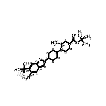 C[C@H]1CN(C(=O)OC(C)(C)C)CCN1C1CCC(n2cc3cc(N)c(C(C)(C)O)cc3n2)CC1